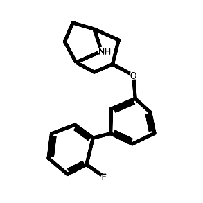 Fc1ccccc1-c1cccc(OC2CC3CCC(C2)N3)c1